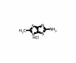 Cc1nc2sc(N)nc2s1.Cl